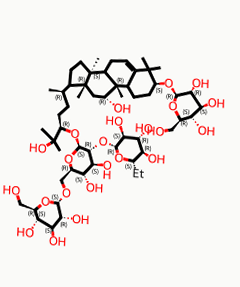 CC[C@@H]1O[C@H](O[C@H]2[C@H](O[C@H](CC[C@@H](C)C3CC[C@@]4(C)C5CC=C6C(CC[C@H](O[C@@H]7O[C@H](CO)[C@@H](O)[C@H](O)[C@H]7O)C6(C)C)[C@]5(C)[C@H](O)C[C@]34C)C(C)(C)O)O[C@H](CO[C@H]3O[C@H](CO)[C@@H](O)[C@H](O)[C@H]3O)[C@@H](O)[C@@H]2O)[C@@H](O)[C@H](O)[C@H]1O